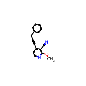 COc1nccc(C#CCc2ccccc2)c1C#N